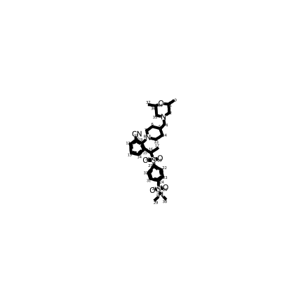 CC1CN(CC2CCN(c3c(C#N)cccc3C(C)S(=O)(=O)c3ccc(S(=O)(=O)N(C)C)cc3)CC2)CC(C)O1